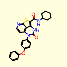 O=C(NC1CCCCC1)c1sc2nccc3c2c1NC(=O)N3c1ccc(Oc2ccccc2)cc1